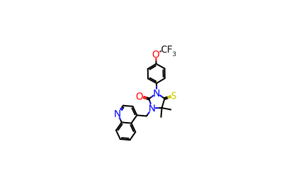 CC1(C)C(=S)N(c2ccc(OC(F)(F)F)cc2)C(=O)N1Cc1ccnc2ccccc12